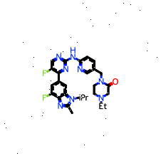 CCN1CCN(Cc2ccc(Nc3ncc(F)c(-c4cc(F)c5nc(C)n(C(C)C)c5c4)n3)nc2)C(=O)C1